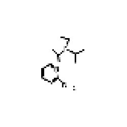 CCN(C(C)C)C(C)C.Nc1ccccn1